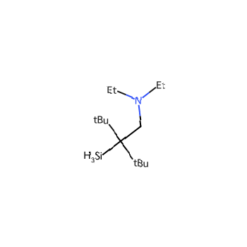 CCN(CC)CC([SiH3])(C(C)(C)C)C(C)(C)C